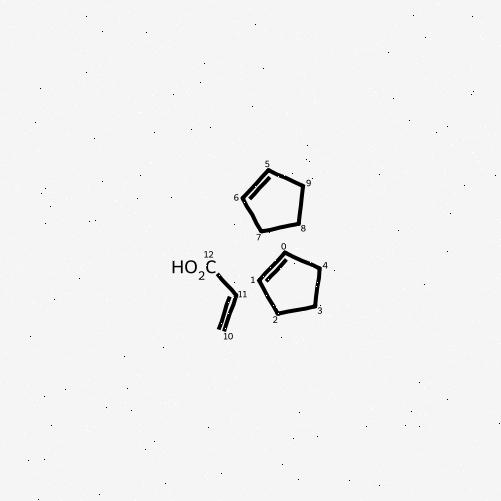 C1=CCCC1.C1=CCCC1.C=CC(=O)O